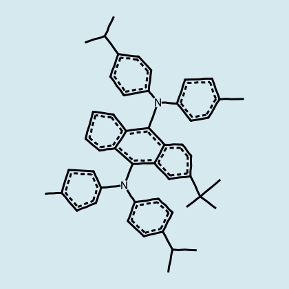 Cc1ccc(N(c2ccc(C(C)C)cc2)c2c3ccccc3c(N(c3ccc(C)cc3)c3ccc(C(C)C)cc3)c3cc(C(C)(C)C)ccc23)cc1